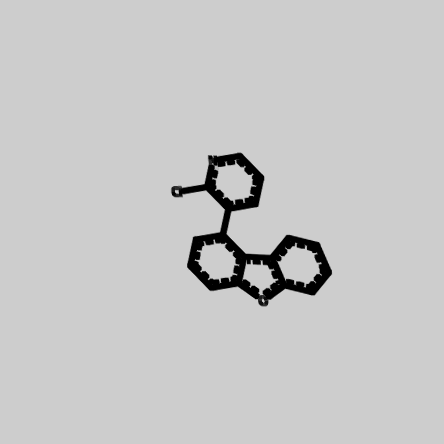 Clc1ncccc1-c1cccc2oc3ccccc3c12